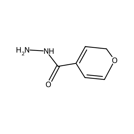 NNC(=O)C1=CCOC=C1